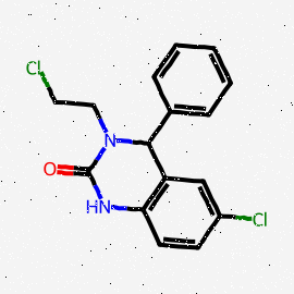 O=C1Nc2ccc(Cl)cc2C(c2ccccc2)N1CCCl